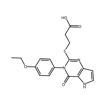 CCOc1ccc(-n2c(SCCC(=O)O)nc3cc[nH]c3c2=O)cc1